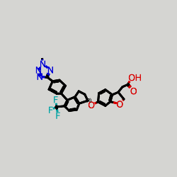 Cn1nnc(-c2ccc(-c3c(C(F)(F)F)ccc4c3CC[C@H]4Oc3ccc4c(c3)OCC4CC(=O)O)cc2)n1